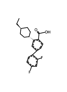 CC[C@H]1CC[C@H](c2cc(-c3ccc(F)cc3F)ccc2C(=O)O)CC1